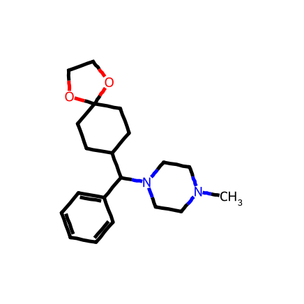 CN1CCN(C(c2ccccc2)C2CCC3(CC2)OCCO3)CC1